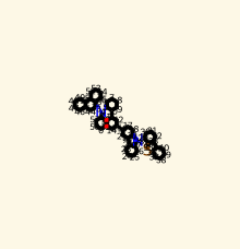 c1ccc(N(c2ccccc2-c2cccc(-c3ccc4c(c3)c3ccccc3n4-c3cccc4c3sc3ccccc34)c2)c2cc3ccccc3c3ccccc23)cc1